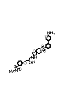 CNS(=O)(=O)c1cccc(OCC(O)CN[C@@H]2COC3(CCN(S(=O)(=O)c4cccc(-c5ccc(N)nc5)c4)CC3)C2)c1